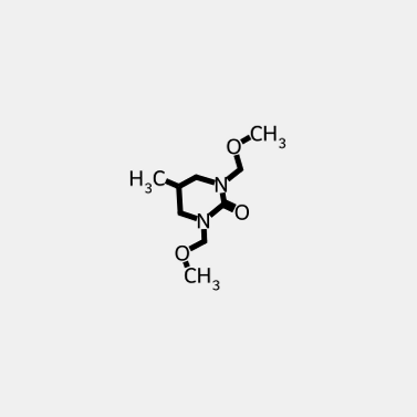 COCN1CC(C)CN(COC)C1=O